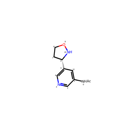 CC(=O)Nc1cncc([C@@H]2CCON2)c1